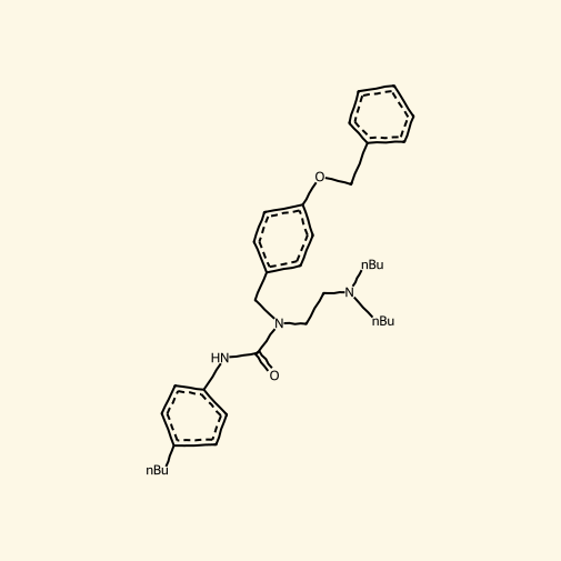 CCCCc1ccc(NC(=O)N(CCN(CCCC)CCCC)Cc2ccc(OCc3ccccc3)cc2)cc1